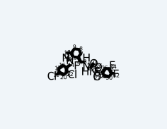 O=C(NCC(F)=C1CCCc2cnn(Cc3ccc(Cl)cc3Cl)c21)NS(=O)(=O)c1ccc(F)c(F)c1